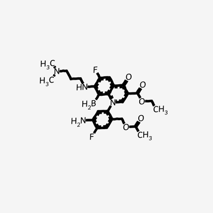 Bc1c(NCCCN(C)C)c(F)cc2c(=O)c(C(=O)OCC)cn(-c3cc(N)c(F)cc3COC(C)=O)c12